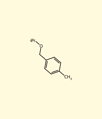 C[C](C)OCc1ccc(C)cc1